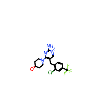 Nc1ncc(Cc2ccc(C(F)(F)F)cc2Cl)c(N2CCC(=O)CC2)n1